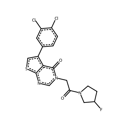 O=C(Cn1cnc2scc(-c3ccc(Cl)c(Cl)c3)c2c1=O)N1CCC(F)C1